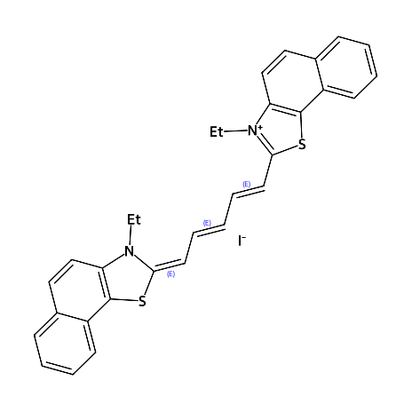 CCN1\C(=C/C=C/C=C/c2sc3c4ccccc4ccc3[n+]2CC)Sc2c1ccc1ccccc21.[I-]